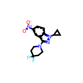 O=[N+]([O-])c1ccc2c(c1)c(N1CCC(F)(F)CC1)nn2C1CC1